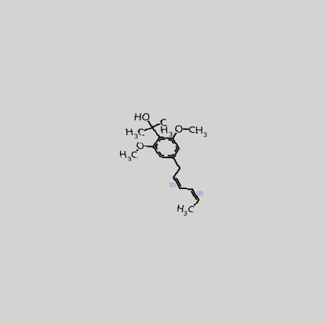 C/C=C\C=C/Cc1cc(OC)c(C(C)(C)O)c(OC)c1